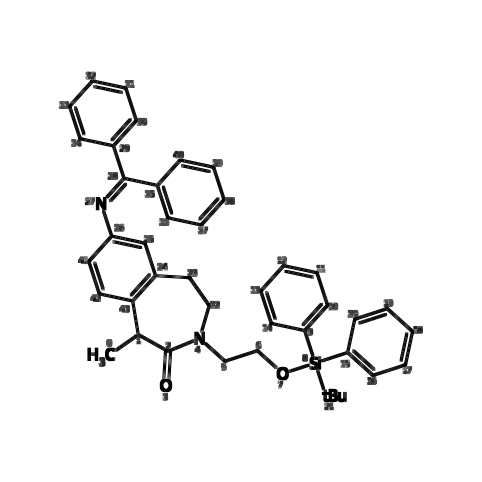 CC1C(=O)N(CCO[Si](c2ccccc2)(c2ccccc2)C(C)(C)C)CCc2cc(N=C(c3ccccc3)c3ccccc3)ccc21